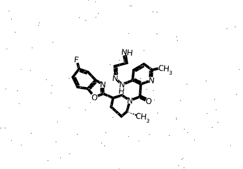 Cc1ccc(N/N=C\C=N)c(C(=O)N2CC(c3nc4cc(F)ccc4o3)CC[C@H]2C)n1